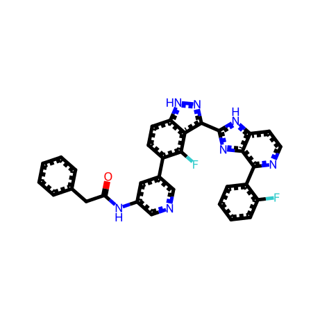 O=C(Cc1ccccc1)Nc1cncc(-c2ccc3[nH]nc(-c4nc5c(-c6ccccc6F)nccc5[nH]4)c3c2F)c1